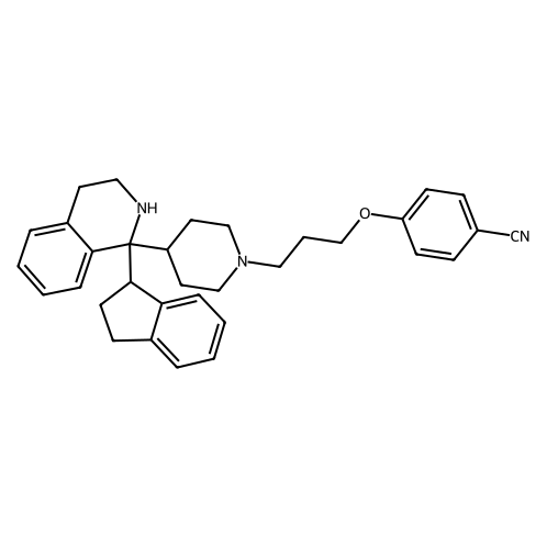 N#Cc1ccc(OCCCN2CCC(C3(C4CCc5ccccc54)NCCc4ccccc43)CC2)cc1